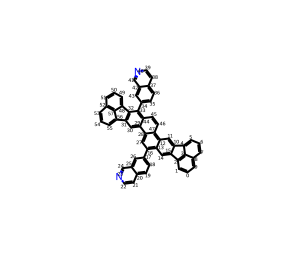 c1cc2c3c(cccc3c1)-c1cc3c(cc1-2)c(-c1ccc2ccncc2c1)cc1c2cc4c(c(-c5ccc6ccncc6c5)c2ccc31)-c1cccc2cccc-4c12